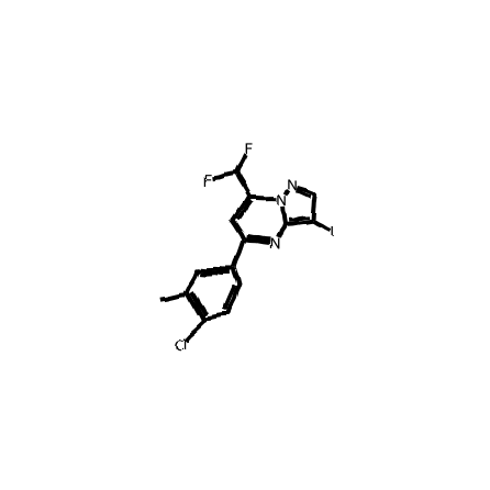 Cc1cc(-c2cc(C(F)F)n3ncc(I)c3n2)ccc1Cl